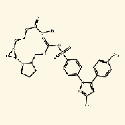 Cc1ccc(-c2cc(C(F)(F)F)nn2-c2ccc(S(=O)(=O)NC(=O)OCC3CCCN3n3on3OCOC(=O)OC(C)(C)C)cc2)cc1